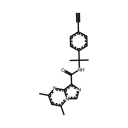 C#Cc1ccc(C(C)(C)NC(=O)c2ncn3c(C)cc(C)nc23)cc1